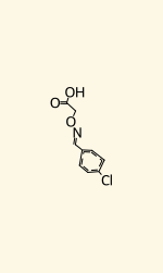 O=C(O)CON=Cc1ccc(Cl)cc1